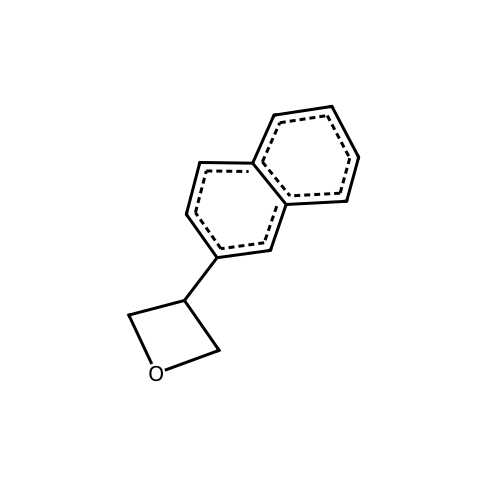 c1ccc2cc(C3COC3)ccc2c1